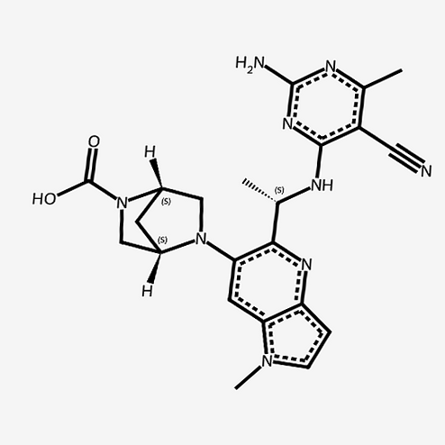 Cc1nc(N)nc(N[C@@H](C)c2nc3ccn(C)c3cc2N2C[C@@H]3C[C@H]2CN3C(=O)O)c1C#N